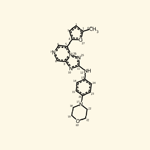 Cc1ccc(-c2cncc3nc(Nc4ccc(N5CCOCC5)cc4)nn23)o1